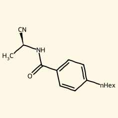 CCCCCCc1ccc(C(=O)N[C@@H](C)C#N)cc1